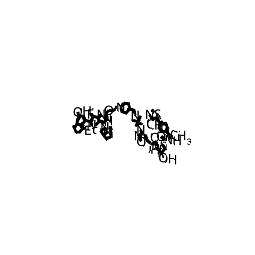 CCc1cccc2cc(O)cc(-c3ncc4c(N5CC6CCC(C5)N6)nc(OCCN5CCC(CN6CC7(C6)CN(c6cc(C(C(=O)N8C[C@H](O)C[C@H]8C(=O)NC(C)c8ccc(-c9scnc9C)cc8)C(C)C)on6)C7)CC5)nc4c3F)c12